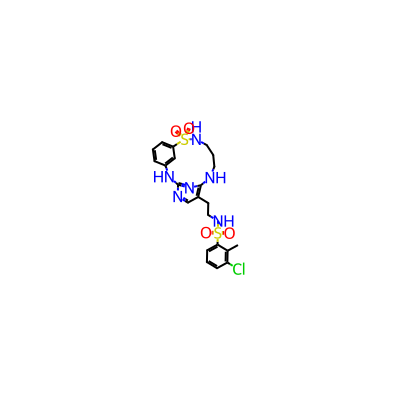 Cc1c(Cl)cccc1S(=O)(=O)NCCc1cnc2nc1NCCCNS(=O)(=O)c1cccc(c1)N2